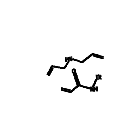 C=CC(=O)NCC.C=CCNCC=C